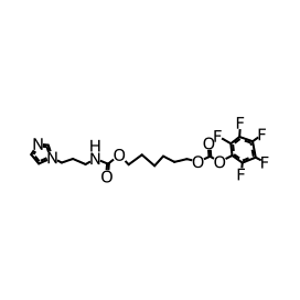 O=C(NCCCn1ccnc1)OCCCCCCOC(=O)Oc1c(F)c(F)c(F)c(F)c1F